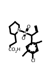 C=CC(c1cc(C)c(Cl)cc1C)S(=O)(=O)N1CCCCC1CCC(=O)O